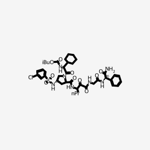 CCCC(NC(=O)C1C[C@H](NS(=O)(=O)c2cccc(Cl)c2)CN1C(=O)[C@H](NC(=O)OCC(C)C)C1CCCCC1)C(=O)C(=O)NCC(=O)N[C@@H](C(N)=O)c1ccccc1